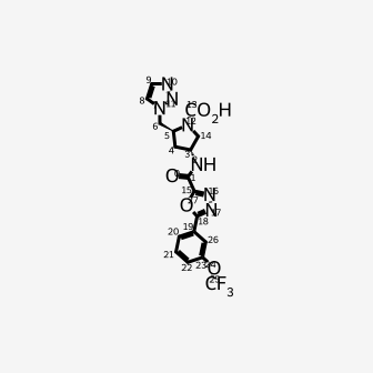 O=C(N[C@@H]1C[C@@H](Cn2ccnn2)N(C(=O)O)C1)c1nnc(-c2cccc(OC(F)(F)F)c2)o1